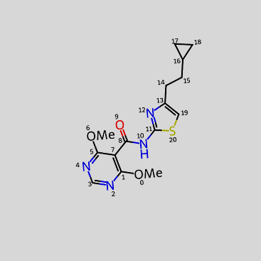 COc1ncnc(OC)c1C(=O)Nc1nc(CCC2CC2)cs1